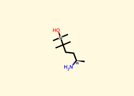 C[C@@H](N)CCC(C)(C)[Si](C)(C)O